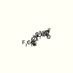 N[C@@H](CC(=O)N1CCn2c(nnc2C(F)(F)F)C1)CN1CC2CC2C1=O